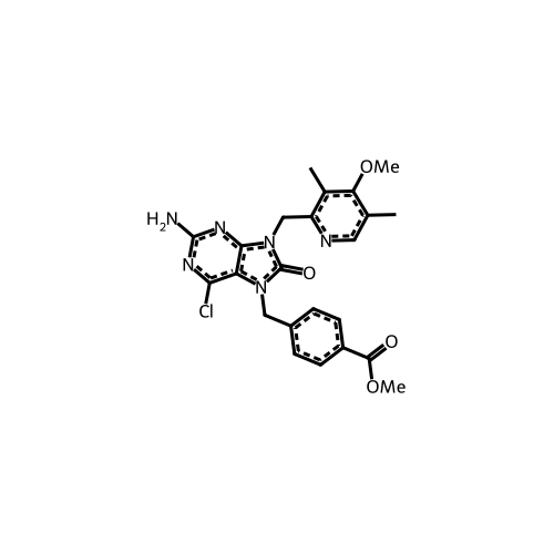 COC(=O)c1ccc(Cn2c(=O)n(Cc3ncc(C)c(OC)c3C)c3nc(N)nc(Cl)c32)cc1